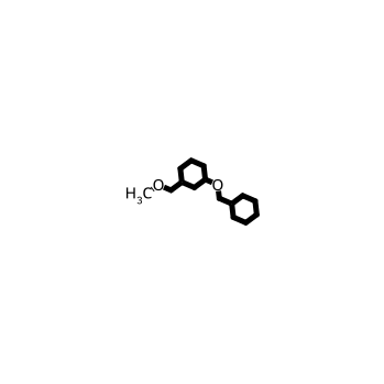 COCC1CCCC(OCC2CCCCC2)C1